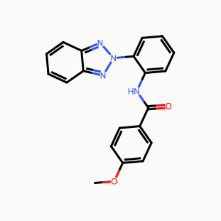 COc1ccc(C(=O)Nc2ccccc2-n2nc3ccccc3n2)cc1